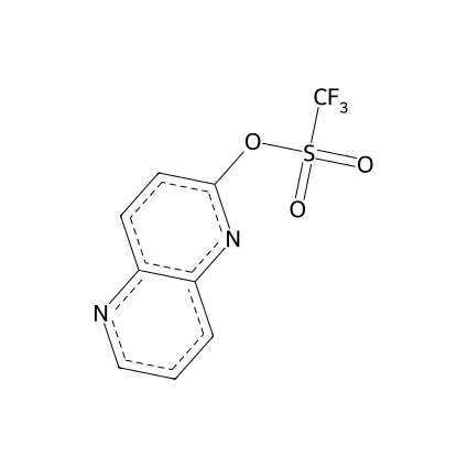 O=S(=O)(Oc1ccc2ncccc2n1)C(F)(F)F